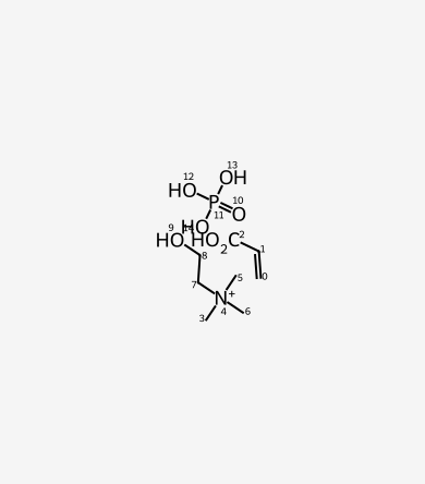 C=CC(=O)O.C[N+](C)(C)CCO.O=P(O)(O)O